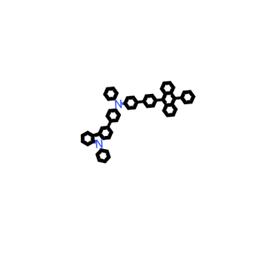 c1ccc(-c2c3ccccc3c(-c3ccc(-c4ccc(N(c5ccccc5)c5ccc(-c6ccc7c(c6)c6ccccc6n7-c6ccccc6)cc5)cc4)cc3)c3ccccc23)cc1